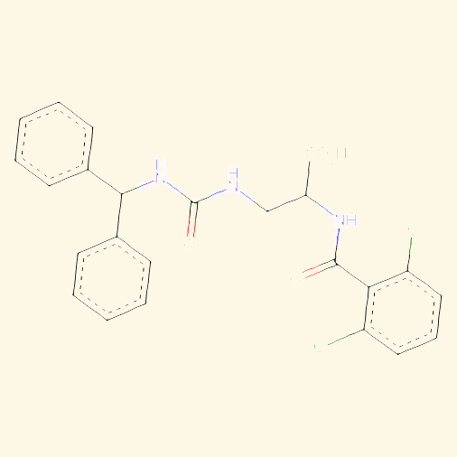 O=C(NCC(NC(=O)c1c(Cl)cccc1Cl)C(=O)O)NC(c1ccccc1)c1ccccc1